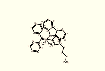 CCCCC1=CC[C]([Zr]([CH3])([CH3])(=[C](c2ccccc2)c2ccccc2)[CH]2c3ccccc3-c3ccccc32)=C1